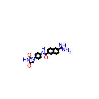 N=C(N)c1ccc2cc(C(=O)Nc3ccc(N4CC(=O)NC4=O)cc3)ccc2c1